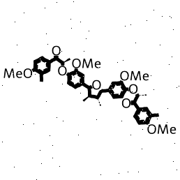 COc1ccc(C(=O)[C@@H](C)Oc2ccc(C3OC(c4ccc(O[C@H](C)C(=O)c5ccc(OC)c(C)c5)c(OC)c4)[C@H](C)[C@H]3C)cc2OC)cc1C